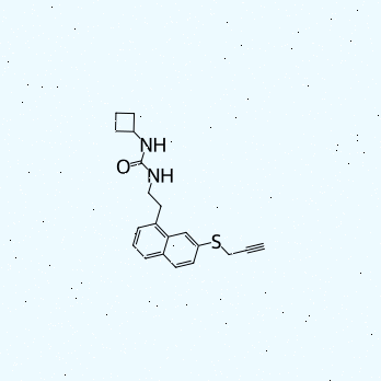 C#CCSc1ccc2cccc(CCNC(=O)NC3CCC3)c2c1